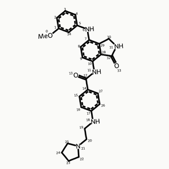 COc1cccc(Nc2ccc(NC(=O)c3ccc(NCCN4CCCC4)cc3)c3c2CNC3=O)c1